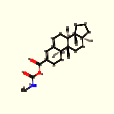 CC(C)(C)NC(=O)OC(=O)C1=CC2=CC[C@H]3[C@@H]4CCC[C@@]4(C)CC[C@@H]3[C@@]2(C)CC1